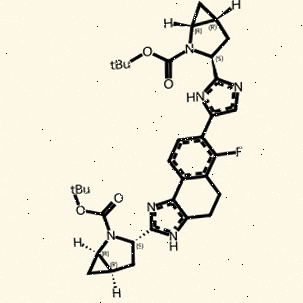 CC(C)(C)OC(=O)N1[C@@H]2C[C@@H]2C[C@H]1c1ncc(-c2ccc3c(c2F)CCc2[nH]c([C@@H]4C[C@H]5C[C@H]5N4C(=O)OC(C)(C)C)nc2-3)[nH]1